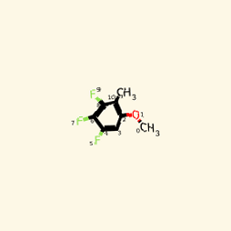 COc1cc(F)c(F)c(F)c1C